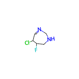 FC1CNCN=CC1Cl